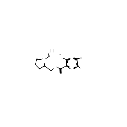 CCN1CCCC1CNC(=O)c1nc(Cl)c(C)nc1OC